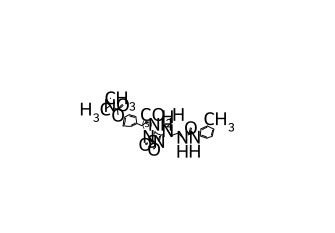 Cc1cccc(NC(=O)NCCNC2=NS(=O)(=O)N=C2N[C@@H](Cc2ccc(OC(=O)N(C)C)cc2)C(=O)O)c1